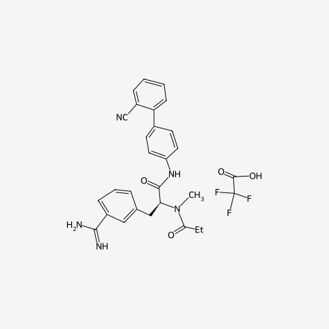 CCC(=O)N(C)[C@@H](Cc1cccc(C(=N)N)c1)C(=O)Nc1ccc(-c2ccccc2C#N)cc1.O=C(O)C(F)(F)F